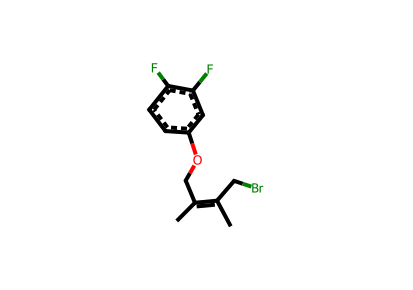 CC(CBr)=C(C)COc1ccc(F)c(F)c1